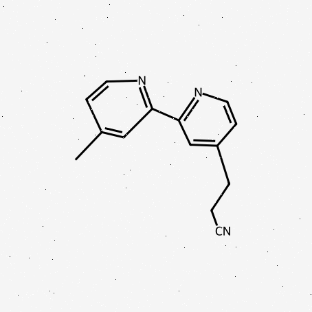 Cc1ccnc(-c2cc(CCC#N)ccn2)c1